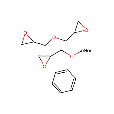 C(OCC1CO1)C1CO1.CCCCCCCCCOCC1CO1.c1ccccc1